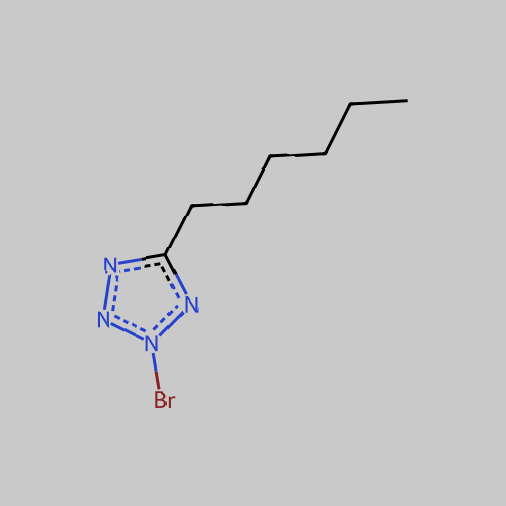 CCCCCCc1nnn(Br)n1